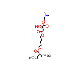 CCCCCCCCC(CCCCCC)C(=O)OCCCCCOC(=O)C[C@H](O)C(=O)OCCN(C)C